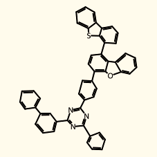 c1ccc(-c2cccc(-c3nc(-c4ccccc4)nc(-c4ccc(-c5ccc(-c6cccc7c6sc6ccccc67)c6c5oc5ccccc56)cc4)n3)c2)cc1